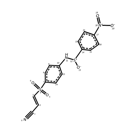 N#CC=CS(=O)(=O)c1ccc(N[S+]([O-])c2ccc([N+](=O)[O-])cc2)cc1